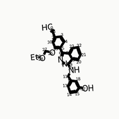 C#Cc1ccc(-c2nnc(NCc3cccc(O)c3)c3ccccc23)c(OCOCC)c1